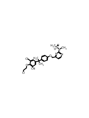 CN(c1nccc(COc2ccc(C(C)(C)c3cc(Cl)c(OCCCl)c(C#N)c3)cc2)n1)S(C)(=O)=O